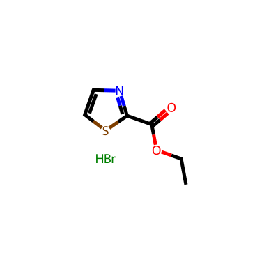 Br.CCOC(=O)c1nccs1